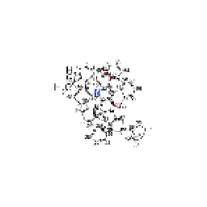 CC1(C)c2ccccc2-c2c(N(c3ccc4c(c3)C3(c5ccccc5-c5ccccc53)c3ccc(C56CCC(CC5)C6)cc3-4)c3ccccc3-c3cccc4cccc(-c5ccccc5)c34)cccc21